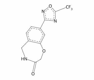 O=C1COc2cc(-c3noc(C(F)(F)F)n3)ccc2CN1